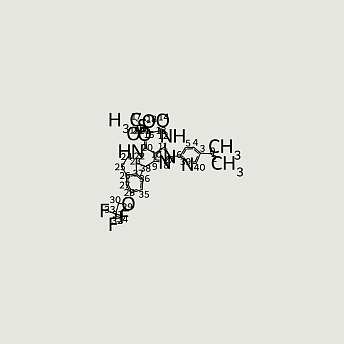 CC(C)c1ccc(-n2nc3c(c2NC(=O)CS(C)(=O)=O)C(=O)N[C@@]2(CCc4cc(OCC(F)(F)F)ccc42)C3)nc1